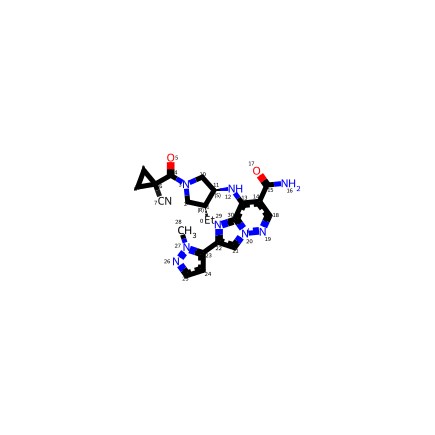 CC[C@@H]1CN(C(=O)C2(C#N)CC2)C[C@H]1Nc1c(C(N)=O)cnn2cc(-c3ccnn3C)nc12